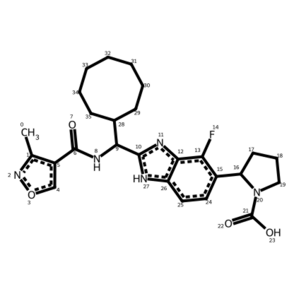 Cc1nocc1C(=O)NC(c1nc2c(F)c(C3CCCN3C(=O)O)ccc2[nH]1)C1CCCCCCC1